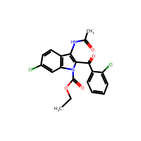 CCOC(=O)n1c(C(=O)c2ccccc2Cl)c(NC(C)=O)c2ccc(Cl)cc21